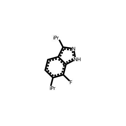 CC(C)c1ccc2c(C(C)C)n[nH]c2c1F